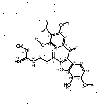 COc1cc(C(=O)c2c(NCCNC(=N)NCl)oc3c(O)c(OC)ccc23)cc(OC)c1OC